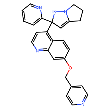 C1=C2CCCN2NC1(c1ccccn1)c1ccnc2cc(OCc3ccncc3)ccc12